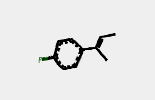 CC=C(C)c1ccc(F)cc1